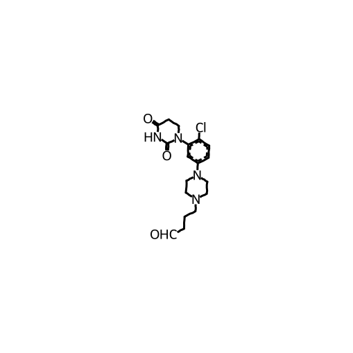 O=CCCCN1CCN(c2ccc(Cl)c(N3CCC(=O)NC3=O)c2)CC1